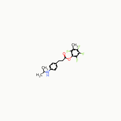 Cc1c(F)c(F)c(F)c(OC(=O)CCc2ccc(NC(C)C)cc2)c1F